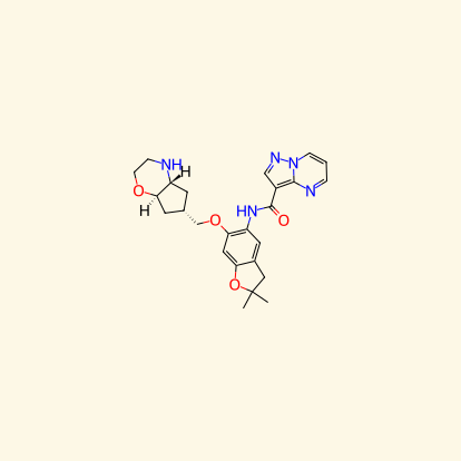 CC1(C)Cc2cc(NC(=O)c3cnn4cccnc34)c(OC[C@H]3C[C@H]4NCCO[C@@H]4C3)cc2O1